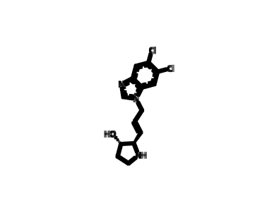 O[C@H]1CCN[C@@H]1/C=C/Cn1cnc2cc(Cl)c(Cl)cc21